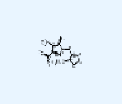 CCc1c([N+](=O)[O-])c(C(N)=O)nn1C[C@H]1CCCN1C